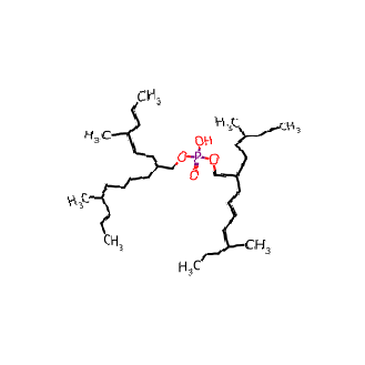 CCCC(C)CCCCC(CCC(C)CCC)COP(=O)(O)OCC(CCCCC(C)CCC)CCC(C)CCC